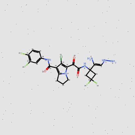 NN/C=C(\N)C1(NC(=O)C(=O)c2c(Cl)c(C(=O)Nc3ccc(F)c(F)c3)c3n2CCC3)CC(F)(F)C1